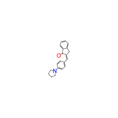 O=C1C(=Cc2ccc(N3CCCC3)cc2)Cc2ccccc21